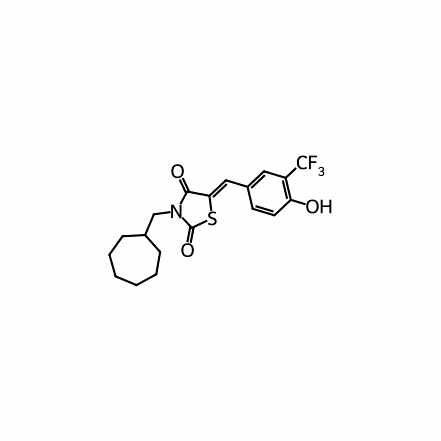 O=C1S/C(=C\c2ccc(O)c(C(F)(F)F)c2)C(=O)N1CC1CCCCCC1